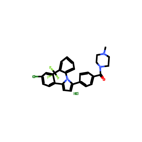 CN1CCN(C(=O)c2ccc(-c3ccc(-c4ccc(Cl)cc4)n3-c3ccccc3C(F)(F)F)cc2)CC1.Cl